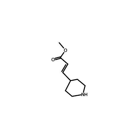 COC(=O)/C=C/C1CCNCC1